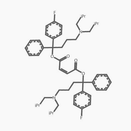 CC(C)CN(CCCC(OC(=O)/C=C\C(=O)OC(CCCN(CC(C)C)CC(C)C)(c1ccccc1)c1ccc(F)cc1)(c1ccccc1)c1ccc(F)cc1)CC(C)C